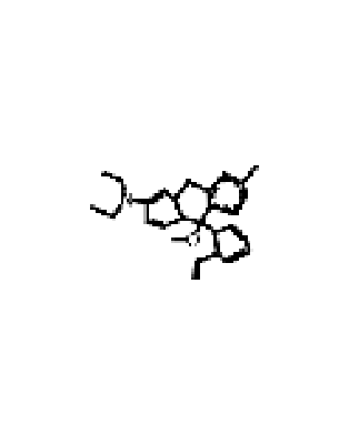 C=CC1C=CC=CC1C1(OC)c2ccc(C)cc2CC2C=C(N(CC)CC)C=CC21